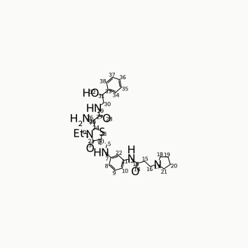 CCN1C(=O)[C@@H](CNc2cccc(NC(=O)CCN3CCCC3)c2)SC1[C@H](N)C(=O)NCC(O)c1ccccc1